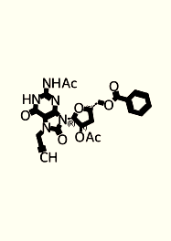 C#CCn1c(=O)n([C@@H]2O[C@H](COC(=O)c3ccccc3)C[C@H]2OC(C)=O)c2nc(NC(C)=O)[nH]c(=O)c21